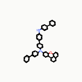 c1ccc(-c2ccc(Nc3ccc(-c4ccc(N(c5ccc(-c6ccccc6)cc5)c5ccc6c(c5)Oc5cccc7cccc-6c57)cc4)cc3)cc2)cc1